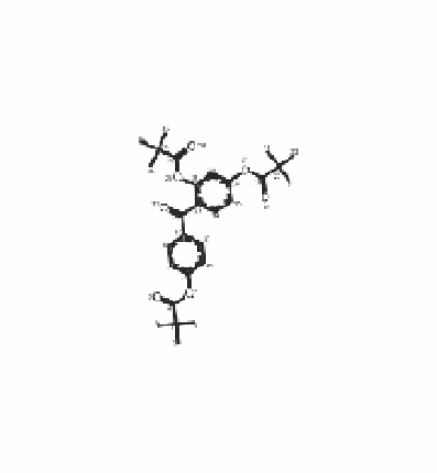 CC(C)(C)C(=O)Oc1ccc(C(=O)c2ccc(OC(=O)C(C)(C)C)cc2OC(=O)C(C)(C)C)cc1